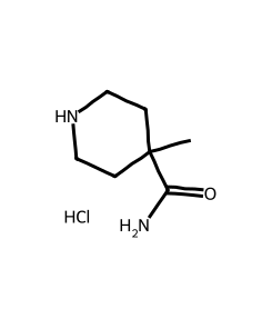 CC1(C(N)=O)CCNCC1.Cl